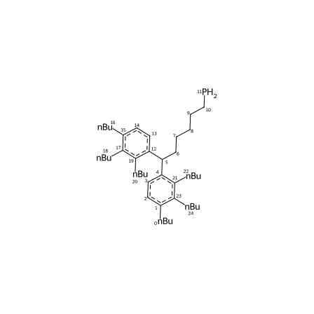 CCCCc1ccc(C(CCCCCP)c2ccc(CCCC)c(CCCC)c2CCCC)c(CCCC)c1CCCC